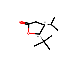 CC(C)[C@H]1CC(=O)O[C@H]1C(C)(C)C